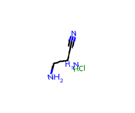 Cl.N.N#CCCN